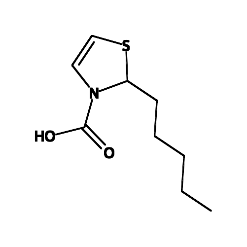 CCCCCC1SC=CN1C(=O)O